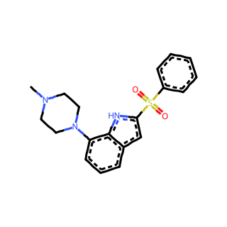 CN1CCN(c2cccc3cc(S(=O)(=O)c4ccccc4)[nH]c23)CC1